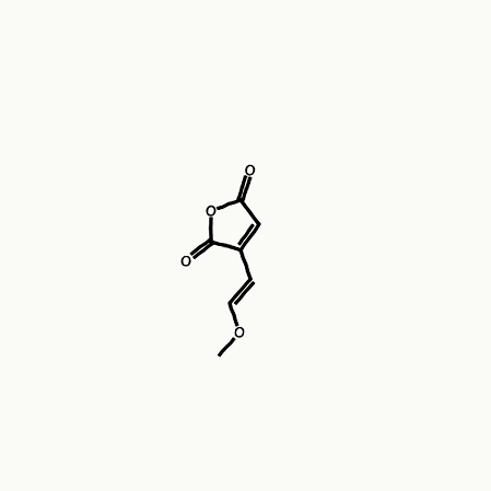 COC=CC1=CC(=O)OC1=O